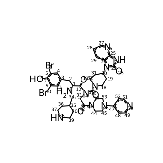 N[C@H](Cc1cc(Br)c(O)c(Br)c1)C(=O)N(C(=O)N1CCC(n2c(=O)[nH]c3ncccc32)CC1)[C@@H](CC1CCNCC1)C(=O)N1CCN(c2ccncc2)CC1